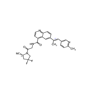 C/C(=C\c1ccc(C)nc1)c1ccc2nccc(C(=O)NCC(=O)N3CC(F)(F)C[C@H]3C#N)c2c1